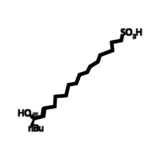 CCCC[C@@H](O)C=CCCCCCCCCCCCCCS(=O)(=O)O